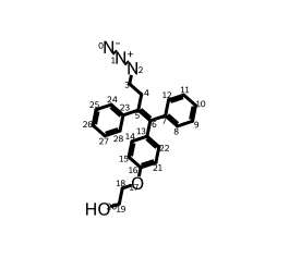 [N-]=[N+]=NCC/C(=C(\c1ccccc1)c1ccc(OCCO)cc1)c1ccccc1